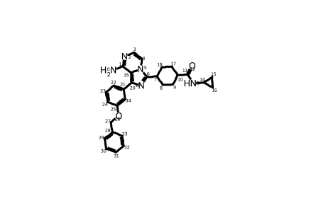 Nc1nccn2c(C3CCC(C(=O)NC4CC4)CC3)nc(-c3cccc(OCc4ccccc4)c3)c12